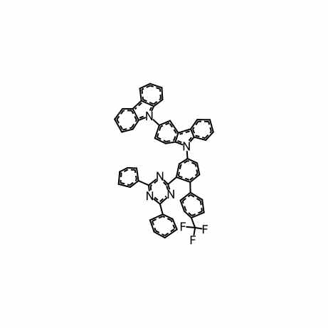 FC(F)(F)c1ccc(-c2ccc(-n3c4ccccc4c4cc(-n5c6ccccc6c6ccccc65)ccc43)cc2-c2nc(-c3ccccc3)nc(-c3ccccc3)n2)cc1